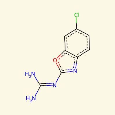 NC(N)=Nc1nc2ccc(Cl)cc2o1